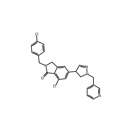 O=C1c2c(Cl)cc(C3C=NN(Cc4cccnc4)C3)cc2CN1Cc1ccc(Cl)cc1